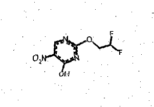 O=[N+]([O-])c1cnc(OCC(F)F)nc1O